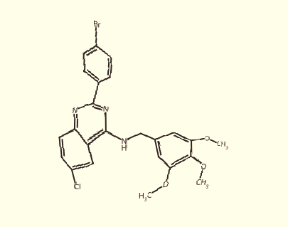 COc1cc(CNc2nc(-c3ccc(Br)cc3)nc3ccc(Cl)cc23)cc(OC)c1OC